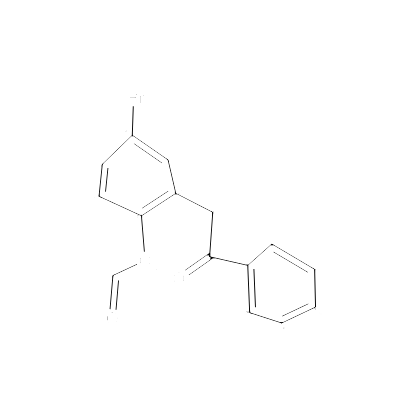 O=COc1ccc(Br)cc1CC(=O)c1ccccc1